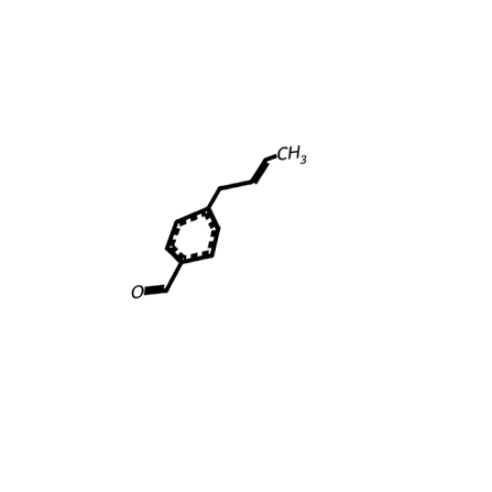 C/C=C/Cc1ccc(C=O)cc1